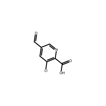 O=Cc1cnc(C(=O)O)c(Cl)c1